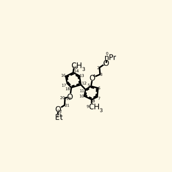 CCCOCCOc1ccc(C)cc1-c1cc(C)ccc1OCCOCC